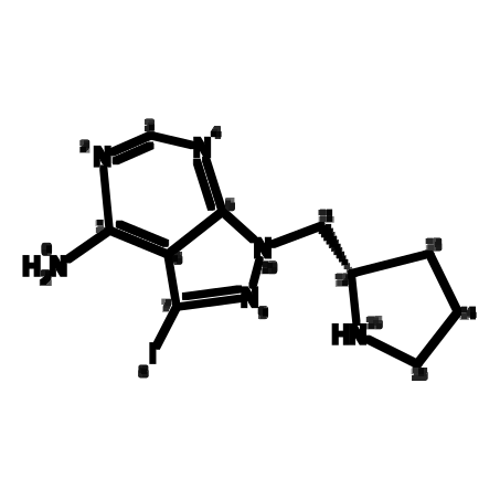 Nc1ncnc2c1c(I)nn2C[C@@H]1CCCN1